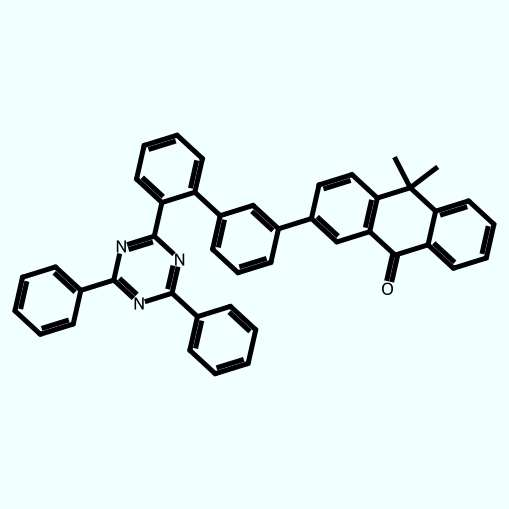 CC1(C)c2ccccc2C(=O)c2cc(-c3cccc(-c4ccccc4-c4nc(-c5ccccc5)nc(-c5ccccc5)n4)c3)ccc21